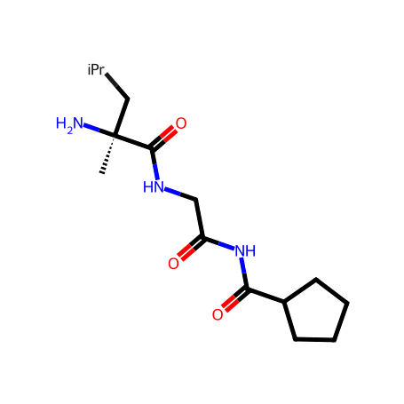 CC(C)C[C@](C)(N)C(=O)NCC(=O)NC(=O)C1CCCC1